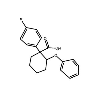 O=C(O)C1(c2ccc(F)cc2)CCCCC1Oc1ccccc1